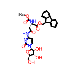 CC(C)(C)OC(=O)N[C@@H](CC(=O)Nc1ccn([C@@H]2O[C@H](CO)[C@@H](O)[C@@H]2O)c(=O)n1)C(=O)OCC1c2ccccc2-c2ccccc21